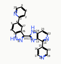 c1ccc(-c2ccc3[nH]nc(-c4nc5c(-c6ccncc6)nccc5[nH]4)c3c2)nc1